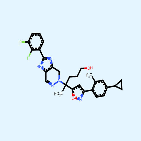 O=C(O)C(CCCO)(c1cc(-c2ccc(C3CC3)cc2C(F)(F)F)no1)N1Cc2nc(-c3cccc(F)c3F)[nH]c2C=N1